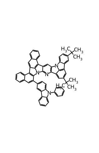 CC(C)(C)c1ccc2c(c1)c1cc(C(C)(C)C)cc3c4nc5c(cc4n2c13)c1c2ccccc2cc2c3c4ccccc4cc(-c4ccc6c(c4)c4ccccc4n6-c4ccccc4)c3n5c21